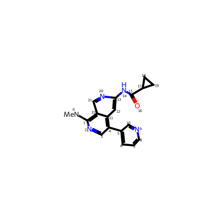 CNc1ncc(-c2cccnc2)c2cc(NC(=O)C3CC3)ncc12